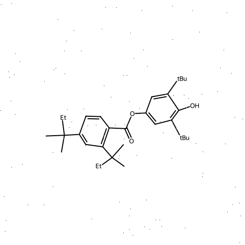 CCC(C)(C)c1ccc(C(=O)Oc2cc(C(C)(C)C)c(O)c(C(C)(C)C)c2)c(C(C)(C)CC)c1